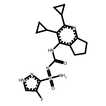 NS(=O)(=NC(=O)Nc1c2c(nc(C3CC3)c1C1CC1)CCC2)c1n[nH]cc1F